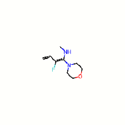 C=C/C(F)=C(\NC)N1CCOCC1